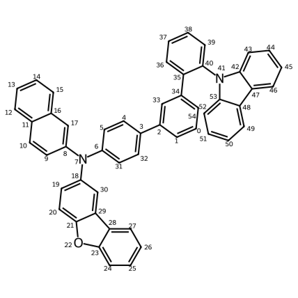 c1cc(-c2ccc(N(c3ccc4ccccc4c3)c3ccc4oc5ccccc5c4c3)cc2)cc(-c2ccccc2-n2c3ccccc3c3ccccc32)c1